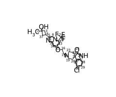 CC1(O)CC(c2cn3c(C(F)(F)F)cc(OCCN4CCC5(CC4)C(=O)Nc4ccc(Cl)cc45)cc3n2)C1